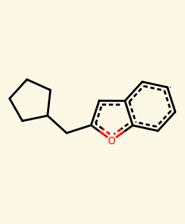 [c]1ccc2oc(CC3CCCC3)cc2c1